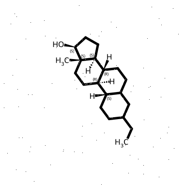 CCC1CC[C@H]2C(CC[C@@H]3[C@@H]2CC[C@]2(C)[C@@H](O)CC[C@@H]32)C1